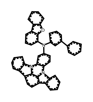 c1ccc(-c2cccc(N(c3ccc4c(c3)n3c5ccccc5c5ccc6c7ccccc7n4c6c53)c3cccc4c3oc3ccccc34)c2)cc1